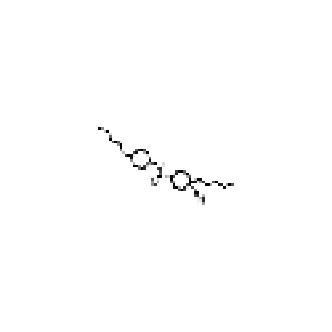 CCCCCC1CCC(OC(=O)[C@H]2CC[C@@](C#N)(CCCCC)CC2)CC1